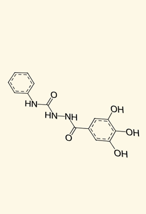 O=C(NNC(=O)c1cc(O)c(O)c(O)c1)Nc1ccccc1